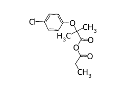 CCC(=O)OC(=O)C(C)(C)Oc1ccc(Cl)cc1